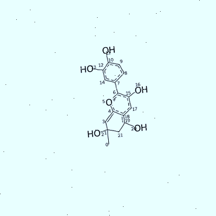 CC1(O)C=c2[o+]c(-c3ccc(O)c(O)c3)c(O)cc2=C(O)C1